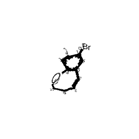 Brc1ccc2c(c1)C=CCCO2